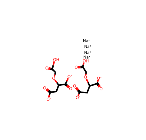 O=C([O-])CC(OCC(=O)O)C(=O)[O-].O=C([O-])CC(OCC(=O)O)C(=O)[O-].[Na+].[Na+].[Na+].[Na+]